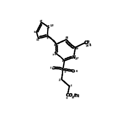 CCOC(=O)CCS(=O)(=O)c1nc(-c2cccs2)cc(C(F)(F)F)n1